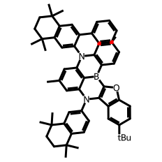 Cc1ccc2c(c1)N(c1cc3c(cc1-c1ccccc1)C(C)(C)CCC3(C)C)c1cc(C)cc3c1B2c1oc2ccc(C(C)(C)C)cc2c1N3c1ccc2c(c1)C(C)(C)CCC2(C)C